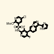 COc1ncc(Cl)cc1S(=O)(=O)Nc1ncc(F)c(-c2ccc3c(-c4ncc[nH]4)ncn3c2)c1F